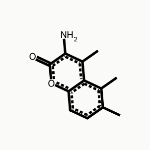 Cc1ccc2oc(=O)c(N)c(C)c2c1C